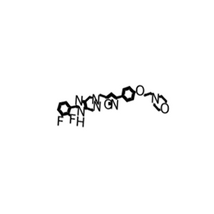 Fc1cccc(-c2nc3c([nH]2)C=NN(Cc2cc(-c4ccc(OCCN5CCOCC5)cc4)no2)C3)c1F